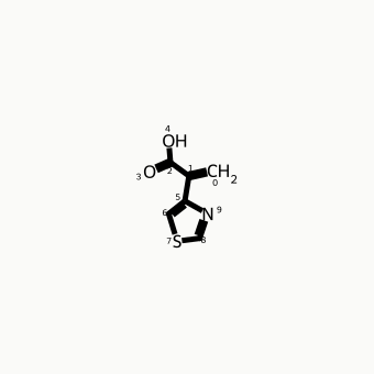 C=C(C(=O)O)c1cscn1